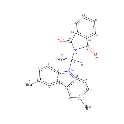 CC(C)(C)c1ccc2c(c1)c1cc(C(C)(C)C)ccc1n2C(C)(C(=O)O)N1C(=O)c2ccccc2C1=O